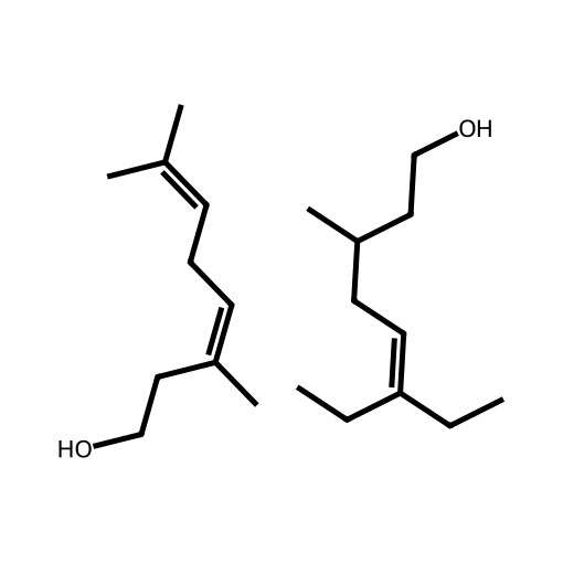 CC(C)=CCC=C(C)CCO.CCC(=CCC(C)CCO)CC